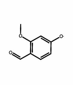 COc1cc([O])ccc1C=O